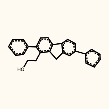 OCCc1c(-c2ccccc2)ccc2c1Cc1cc(-c3ccccc3)ccc1-2